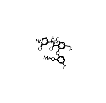 COc1cc(F)ccc1Oc1cc(CF)cc(C(F)(F)F)c1C(=O)Nc1cc[nH]c(=O)c1